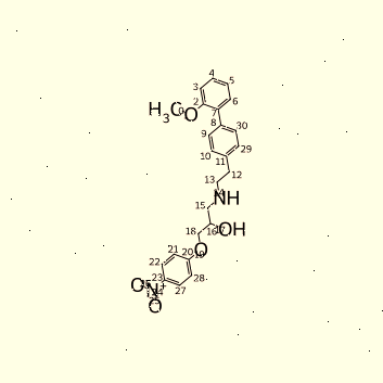 COc1ccccc1-c1ccc(CCNCC(O)COc2ccc([N+](=O)[O-])cc2)cc1